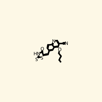 CCCCOc1c(C#N)cnc2ccc(/C=C3/SC(=S)NC3=O)cc12